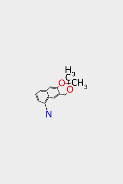 CC1(C)OCc2cc3c(C#N)cccc3cc2O1